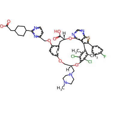 Cc1c(Cl)c2c(Cl)c(C)c1-c1c(-c3ccc(F)cc3)sc3ncnc(c13)O[C@@H](C(=O)O)Cc1cc(ccc1OCc1ccnc(C3CCC(CC(=O)O)CC3)n1)OC[C@@H](CN1CCN(C)CC1)O2